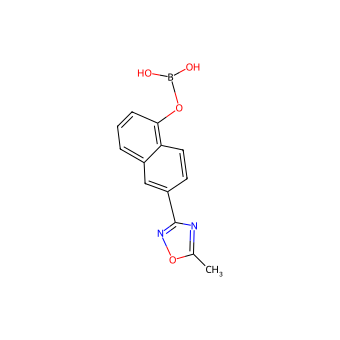 Cc1nc(-c2ccc3c(OB(O)O)cccc3c2)no1